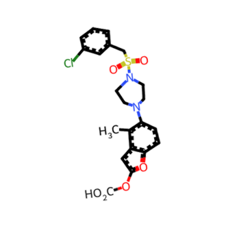 Cc1c(N2CCN(S(=O)(=O)Cc3cccc(Cl)c3)CC2)ccc2oc(OC(=O)O)cc12